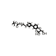 CC(C)(C)OC(=O)NCCCn1cc(-c2ccc(OC(CO)C(=O)O)cc2)cn1